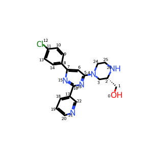 OC[C@@H]1CN(c2cc(-c3ccc(Cl)cc3)nc(-c3cccnc3)n2)CCN1